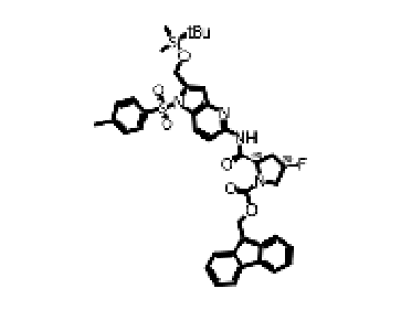 Cc1ccc(S(=O)(=O)n2c(CO[Si](C)(C)C(C)(C)C)cc3nc(NC(=O)[C@H]4C[C@@H](F)CN4C(=O)OCC4c5ccccc5-c5ccccc54)ccc32)cc1